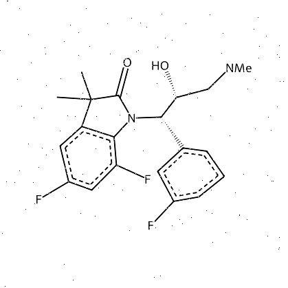 CNC[C@@H](O)[C@H](c1cccc(F)c1)N1C(=O)C(C)(C)c2cc(F)cc(F)c21